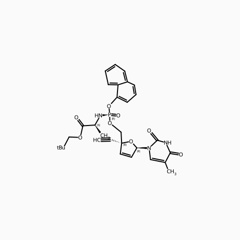 C#C[C@@]1(CO[P@](=O)(N[C@@H](C)C(=O)OCC(C)(C)C)Oc2cccc3ccccc23)C=C[C@H](n2cc(C)c(=O)[nH]c2=O)O1